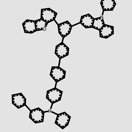 c1ccc(-c2cccc(N(c3ccccc3)c3ccc(-c4ccc(-c5ccc(-c6cc(-c7ccc8c(c7)c7ccccc7n8-c7ccccc7)cc(-c7cccc8c7oc7ccccc78)c6)cc5)cc4)cc3)c2)cc1